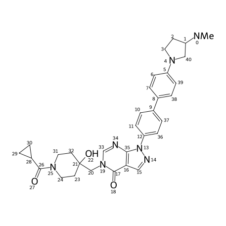 CNC1CCN(c2ccc(-c3ccc(-n4ncc5c(=O)n(CC6(O)CCN(C(=O)C7CC7)CC6)cnc54)cc3)cc2)C1